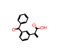 C=C(C(=O)O)c1cccc(C(=O)c2ccccc2)c1